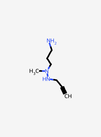 C#CCNN(C)CCCN